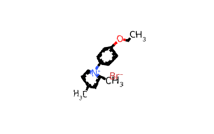 CCOc1ccc(-[n+]2ccc(C)cc2C)cc1.[Br-]